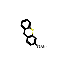 COc1ccc2c(c1)Sc1ccccc1C2